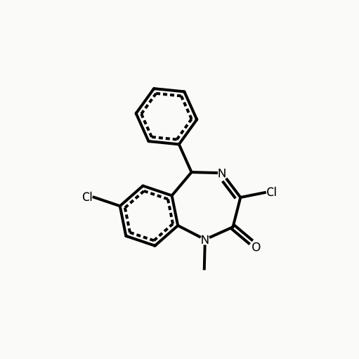 CN1C(=O)C(Cl)=NC(c2ccccc2)c2cc(Cl)ccc21